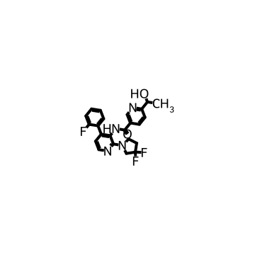 CC(O)c1ccc(C(=O)Nc2c(-c3ccccc3F)ccnc2N2CCC(F)(F)C2)cn1